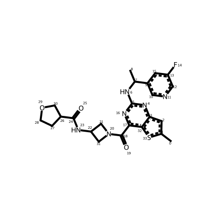 Cc1cc2nc(NC(C)c3cncc(F)c3)nc(C(=O)N3CC(NC(=O)C4CCOC4)C3)c2s1